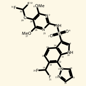 COc1nc(NS(=O)(=O)c2c[nH]c3c(-n4cccn4)c(C(F)F)ccc23)nc(OC)c1OC(F)F